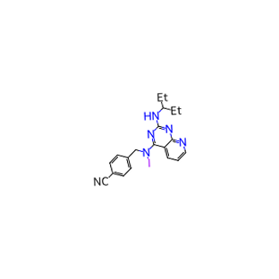 CCC(CC)Nc1nc(N(I)Cc2ccc(C#N)cc2)c2cccnc2n1